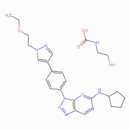 CCOCCn1cc(-c2ccc(-n3nnc4cnc(NC5CCCC5)nc43)cc2)cn1.O=C(O)NCCO